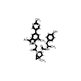 CC(=O)c1nn(CC(=O)N2C3C[C@]3(C)C[C@H]2C(=O)NC(C)Cc2ccc(O)cc2)c2c(C)cc(-c3cnc(C)nc3)cc12